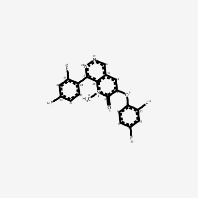 Cn1c(=O)c(Oc2ccc(F)cc2F)cc2cnnc(-c3ccc(F)cc3F)c21